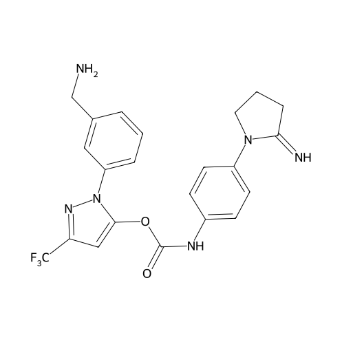 N=C1CCCN1c1ccc(NC(=O)Oc2cc(C(F)(F)F)nn2-c2cccc(CN)c2)cc1